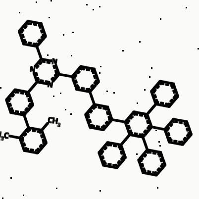 Cc1cccc(C)c1-c1cccc(-c2nc(-c3ccccc3)nc(-c3cccc(-c4cccc(-c5cc(-c6ccccc6)c(-c6ccccc6)c(-c6ccccc6)c5-c5ccccc5)c4)c3)n2)c1